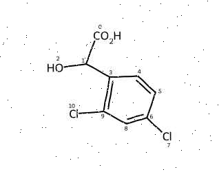 O=C(O)C(O)c1ccc(Cl)cc1Cl